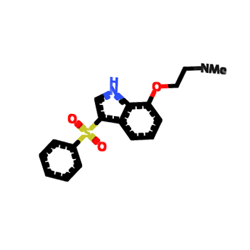 CNCCOc1cccc2c(S(=O)(=O)c3ccccc3)c[nH]c12